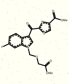 COC(=O)COCn1cc(C(=O)c2nc(C(=O)OC)cs2)c2ccc(F)cc21